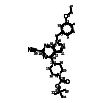 CCOc1cccc(Cn2ncc3c(N4CCN(C(=O)OC(C)(C)C)CC4)nc(C#N)nc32)c1